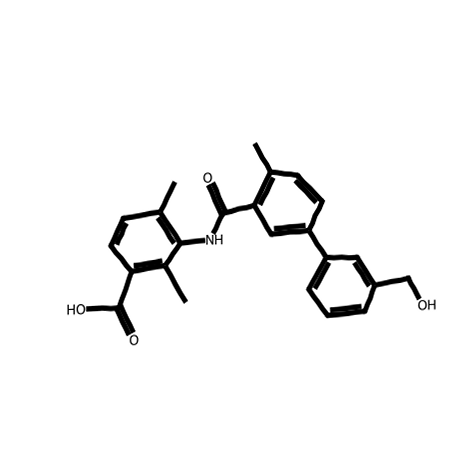 Cc1ccc(-c2cccc(CO)c2)cc1C(=O)Nc1c(C)ccc(C(=O)O)c1C